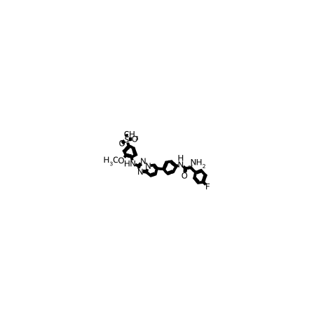 COc1cc(S(C)(=O)=O)ccc1Nc1nc2ccc(-c3ccc(NC(=O)[C@H](N)c4ccc(F)cc4)cc3)cn2n1